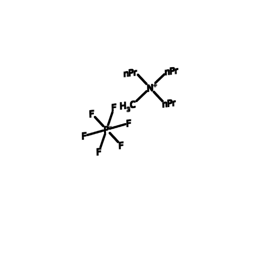 CCC[N+](C)(CCC)CCC.F[P-](F)(F)(F)(F)F